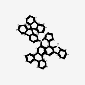 c1ccc(N(c2ccc3c(c2)C2(c4ccccc4-c4ccccc42)c2ccccc2-3)c2ccc3c4ccccc4c4ccccc4c3c2)c(-c2cccc3c2sc2ccccc23)c1